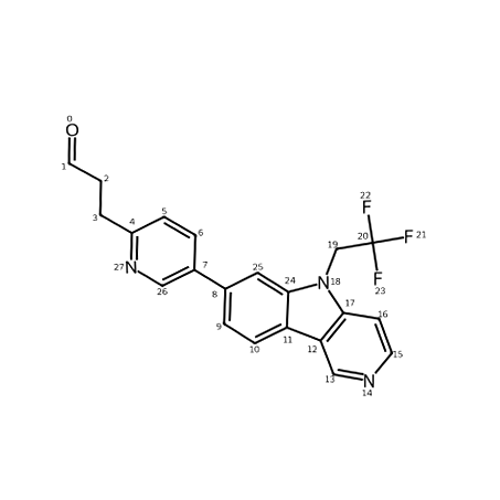 O=CCCc1ccc(-c2ccc3c4cnccc4n(CC(F)(F)F)c3c2)cn1